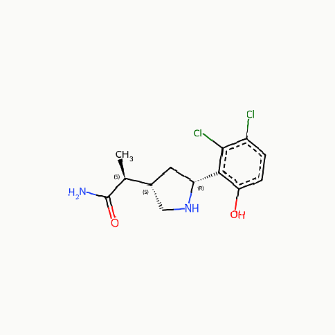 C[C@H](C(N)=O)[C@H]1CN[C@@H](c2c(O)ccc(Cl)c2Cl)C1